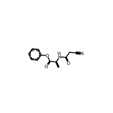 C=C(NC(=O)CC#N)C(=O)Oc1ccccc1